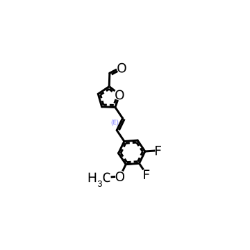 COc1cc(/C=C/c2ccc(C=O)o2)cc(F)c1F